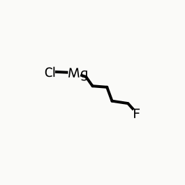 FCCCC[CH2][Mg][Cl]